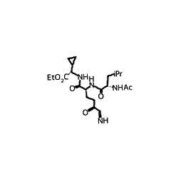 CCOC(=O)[C@@H](NC(=O)[C@H](CCC(=O)C=N)NC(=O)[C@H](CC(C)C)NC(C)=O)C1CC1